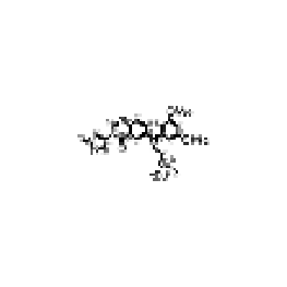 COc1cc(OC)cc(N(CCO[Si](C)(C)C(C)(C)C)c2ccc3ncn(-c4cnn(C)c4)c(=O)c3c2)c1